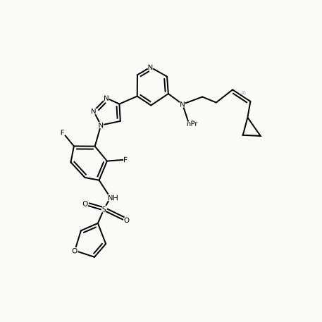 CCCN(CC/C=C\C1CC1)c1cncc(-c2cn(-c3c(F)ccc(NS(=O)(=O)c4ccoc4)c3F)nn2)c1